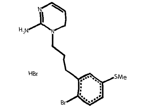 Br.CSc1ccc(Br)c(CCCN2CC=CN=C2N)c1